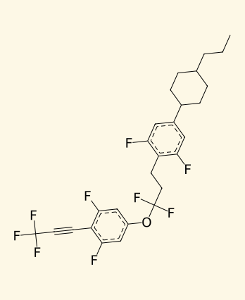 CCCC1CCC(c2cc(F)c(CCC(F)(F)Oc3cc(F)c(C#CC(F)(F)F)c(F)c3)c(F)c2)CC1